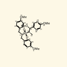 COc1ccc(CN(Cc2ccc(OC)cc2)S(=O)(=O)[C@H](C)[C@@H](OC)c2cnc(OC)cn2)cc1